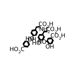 N[C@@H](Cc1ccc(O)cc1)C(=O)O.O=C(O)C=Cc1ccc(O)cc1.O=C(O)c1ccc(O)c(O)c1.O=C(O)c1ccc(O)cc1